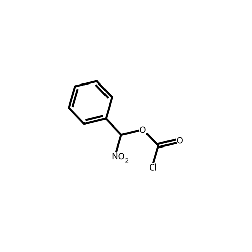 O=C(Cl)OC(c1ccccc1)[N+](=O)[O-]